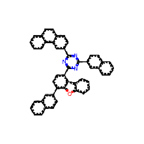 c1ccc2cc(-c3nc(-c4ccc5ccc6ccccc6c5c4)nc(-c4ccc(-c5ccc6ccccc6c5)c5oc6ccccc6c45)n3)ccc2c1